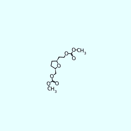 COC(=O)OCC[C@@H]1CC[C@H](COC(=O)OC)O1